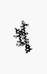 C=C1C=C(C)c2ccc(NC(=O)CNC(=O)CNC(=O)[C@H](CCCNC(=N)N)NC(=O)[C@@H](CC(C)C)NC(=O)[C@@H](N)CCCNC(=N)N)cc2O1